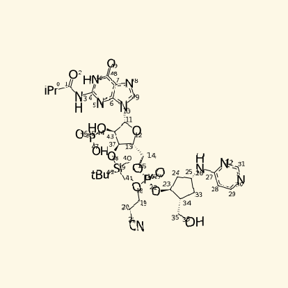 CC(C)C(=O)Nc1nc2c(ncn2[C@@H]2O[C@H](CO[P@@](=O)(OCCC#N)O[C@H]3C[C@H](Nc4ccncn4)C[C@@H]3CO)[C@@H](O[Si](C)(C)C(C)(C)C)[C@H]2O[PH](=O)O)c(=O)[nH]1